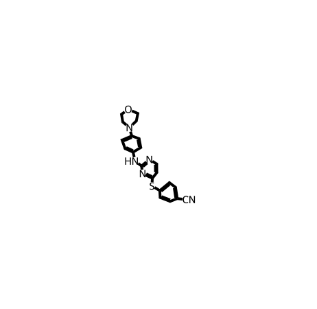 N#Cc1ccc(Sc2ccnc(Nc3ccc(N4CCOCC4)cc3)n2)cc1